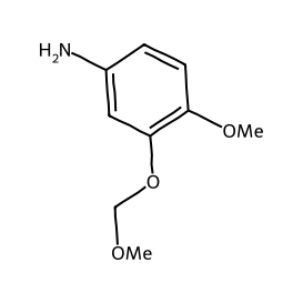 COCOc1cc(N)ccc1OC